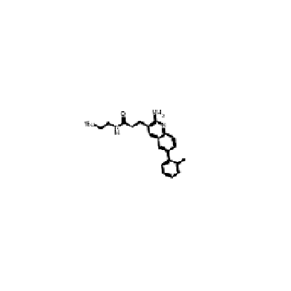 Cc1ccccc1-c1ccc2nc(N)c(CCC(=O)NCCC(C)(C)C)cc2c1